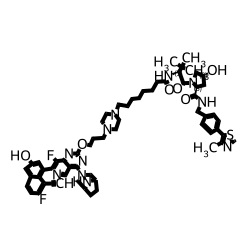 C#Cc1c(F)ccc2cc(O)cc(-c3ncc4c(N5CC6CCC(C5)N6)nc(OCCCN5CCN(CCCCCCCC(=O)N[C@H](C(=O)N6C[C@H](O)C[C@H]6C(=O)NCc6ccc(-c7scnc7C)cc6)C(C)(C)C)CC5)nc4c3F)c12